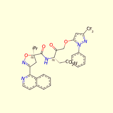 CC(C)[C@]1(C(=O)N[C@@H](CC(=O)O)C(=O)COc2cc(C(F)(F)F)nn2-c2ccccc2)CC(c2nccc3ccccc23)=NO1